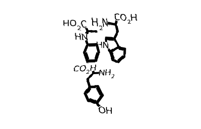 CC(Nc1ccccc1)C(=O)O.NC(Cc1c[nH]c2ccccc12)C(=O)O.NC(Cc1ccc(O)cc1)C(=O)O